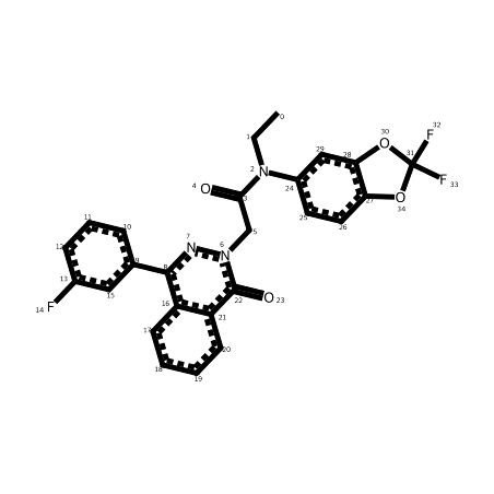 CCN(C(=O)Cn1nc(-c2cccc(F)c2)c2ccccc2c1=O)c1ccc2c(c1)OC(F)(F)O2